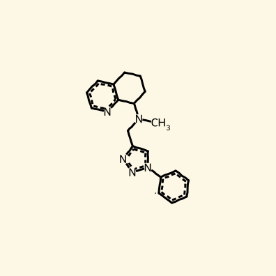 CN(Cc1cn(-c2[c]cccc2)nn1)C1CCCc2cccnc21